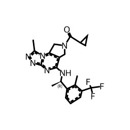 Cc1c([C@@H](C)Nc2nc3nnc(C)n3c3c2CN(C(=O)C2CC2)C3)cccc1C(F)(F)F